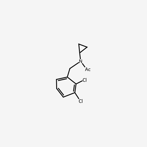 CC(=O)N(Cc1cccc(Cl)c1Cl)C1CC1